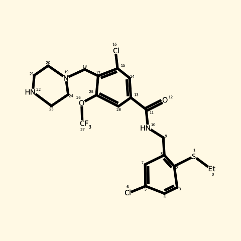 CCSc1ccc(Cl)cc1CNC(=O)c1cc(Cl)c(CN2CCNCC2)c(OC(F)(F)F)c1